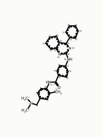 Cc1cc(CN(C)C)ccc1NC(=O)c1ccc(Nc2nc(-c3ccccc3)c3ccccc3n2)cc1